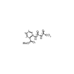 COC(=O)c1cnccc1NC(=O)NC(=O)C(Cl)(Cl)Cl